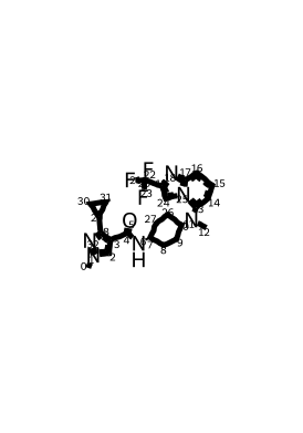 Cn1cc(C(=O)N[C@H]2CC[C@@H](N(C)c3cccc4nc(C(F)(F)F)cn34)CC2)c(C2CC2)n1